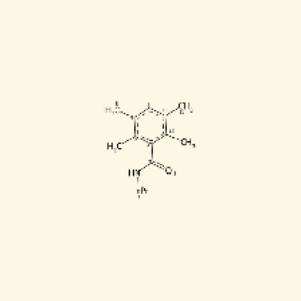 CCCNC(=O)c1c(C)c(C)cc(C)c1C